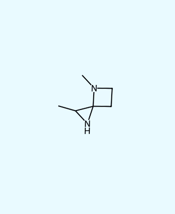 CC1NC12CCN2C